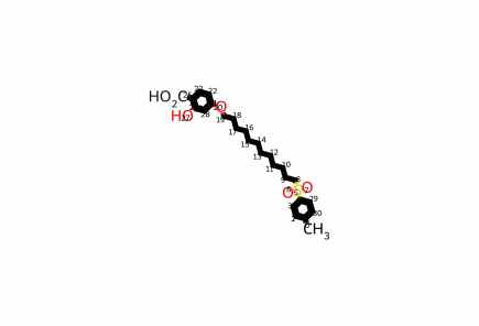 Cc1ccc(S(=O)(=O)CCCCCCCCCCCCOc2ccc(C(=O)O)c(O)c2)cc1